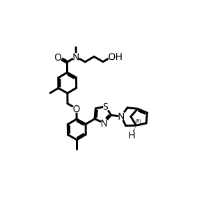 CC1=CC(C(=O)N(C)CCCO)=CCC1COc1ccc(C)cc1-c1csc(N2CC3=CC[C@H](C3)C2)n1